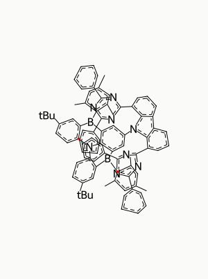 Cc1cc(C)c(B2c3cc(C(C)(C)C)ccc3N3c4ccc(C(C)(C)C)cc4B(c4c(C)cc(C)cc4C)c4cc(-n5c6c(-c7nc(-c8ccccc8)nc(-c8ccccc8)n7)cccc6c6cccc(-c7nc(-c8ccccc8)nc(-c8ccccc8)n7)c65)cc2c43)c(C)c1